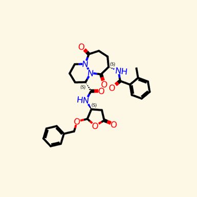 Cc1ccccc1C(=O)N[C@H]1CCC(=O)N2CCC[C@@H](C(=O)N[C@H]3CC(=O)OC3OCc3ccccc3)N2C1=O